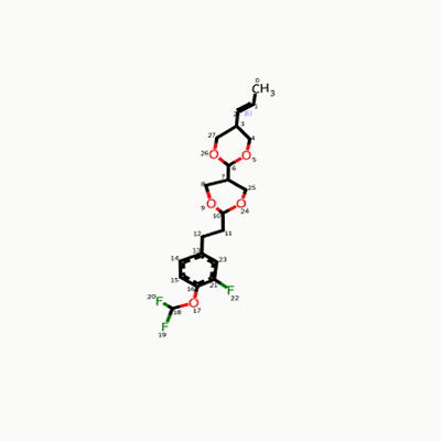 C/C=C/C1COC(C2COC(CCc3ccc(OC(F)F)c(F)c3)OC2)OC1